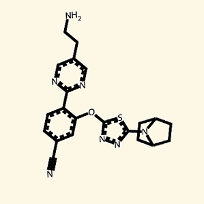 N#Cc1ccc(-c2ncc(CCN)cn2)c(Oc2nnc(N3C4CCC3CC4)s2)c1